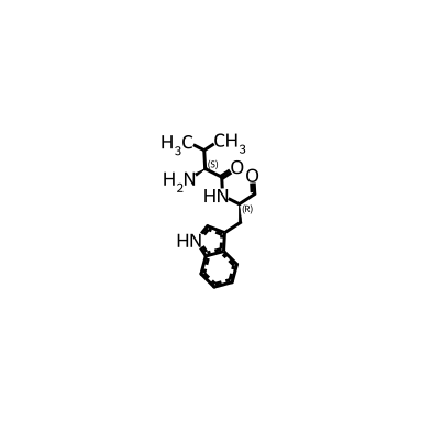 CC(C)[C@H](N)C(=O)N[C@@H](C=O)Cc1c[nH]c2ccccc12